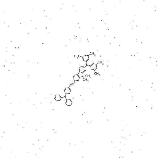 Cc1cc(C)cc(N(c2cc(C)cc(C)c2)c2ccc3c(c2)C(C)(C)c2cc(/C=C/c4ccc(N(c5ccccc5)c5ccccc5)cc4)ccc2-3)c1